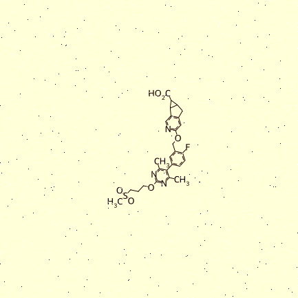 Cc1nc(OCCCS(C)(=O)=O)nc(C)c1-c1ccc(F)c(COc2cc3c(cn2)C2C(C3)C2C(=O)O)c1